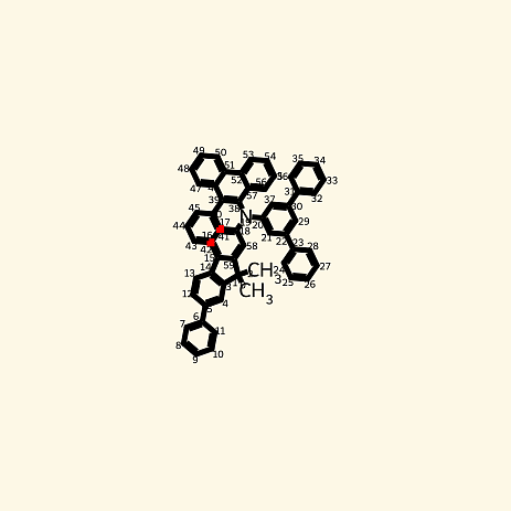 CC1(C)c2cc(-c3ccccc3)ccc2-c2ccc(N(c3cc(-c4ccccc4)cc(-c4ccccc4)c3)c3c(-c4ccccc4)c4ccccc4c4ccccc34)cc21